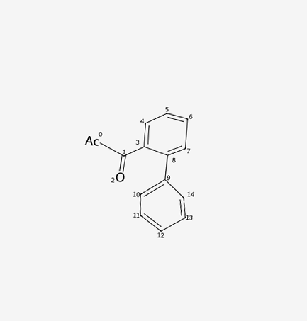 CC(=O)C(=O)c1ccccc1-c1ccccc1